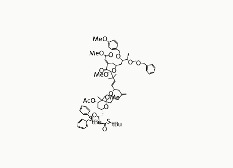 C=C1C[C@@H](C[C@]2(OC)O[C@H](C[C@H](CC(=O)SC(C)(C)C)O[Si](c3ccccc3)(c3ccccc3)C(C)(C)C)C[C@H](OC(C)=O)C2(C)C)O[C@@H](C=CC(C)(C)[C@]2(OC)O[C@H](C[C@@H](OCc3ccc(OC)cc3)[C@@H](C)OCOCc3ccccc3)CC(=CC(=O)OC)C2=O)C1